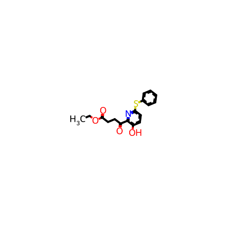 CCOC(=O)CCC(=O)c1nc(Sc2ccccc2)ccc1O